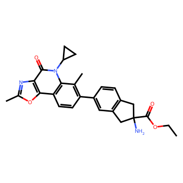 CCOC(=O)C1(N)Cc2ccc(-c3ccc4c5oc(C)nc5c(=O)n(C5CC5)c4c3C)cc2C1